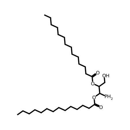 CCCCCCCCCCCCCC(=O)OC(P)C(CO)OC(=O)CCCCCCCCCCCCC